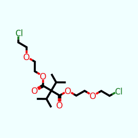 CC(C)C(C(=O)OCCOCCCl)(C(=O)OCCOCCCl)C(C)C